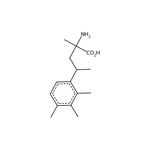 Cc1ccc(C(C)CC(C)(N)C(=O)O)c(C)c1C